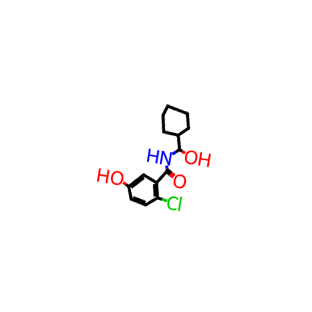 O=C(NC(O)C1CCCCC1)c1cc(O)ccc1Cl